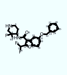 O=C(NC1CCNCC1(F)F)c1c(C(F)F)oc2ccc(OCc3ccccc3)cc12